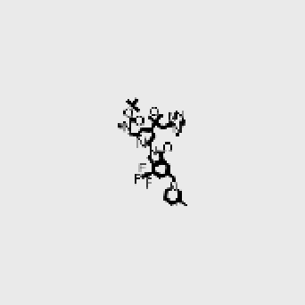 C[C@H]1CCCN(Cc2cc3c(c(C(F)(F)F)c2)CN(c2cc(C4(Cc5nncn5C)COC4)cc(CN(C)C(=O)OC(C)(C)C)n2)C3=O)C1